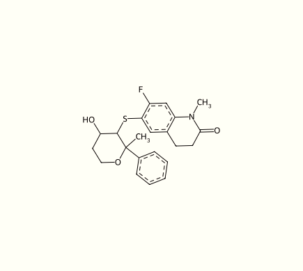 CN1C(=O)CCc2cc(SC3C(O)CCOC3(C)c3ccccc3)c(F)cc21